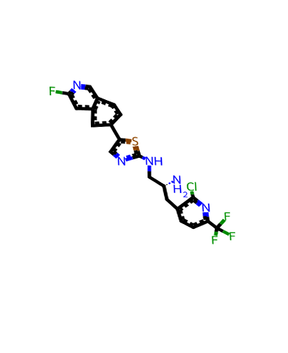 N[C@@H](CNc1ncc(-c2ccc3cnc(F)cc3c2)s1)Cc1ccc(C(F)(F)F)nc1Cl